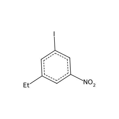 CCc1cc(I)cc([N+](=O)[O-])c1